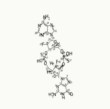 Nc1nc2c(ncn2[C@@H]2O[C@@H]3CO[P@@](O)(=S)OC4C(F)[C@H](n5cnc6c(N)ncnc65)O[C@@H]4CO[P@@](O)(=S)O[C@@H]2[C@@H]3F)c(=O)[nH]1